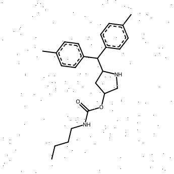 CCCCNC(=O)OC1CNC(C(c2ccc(C)cc2)c2ccc(C)cc2)C1